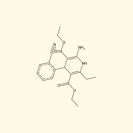 CCOC(=O)C1=C(N)NC(CC)=C(C(=O)OCC)C1c1ccccc1C#N